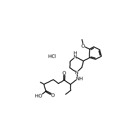 CCC(NN1CCNC(c2ccccc2OC)C1)C(=O)CCC(C)C(=O)O.Cl